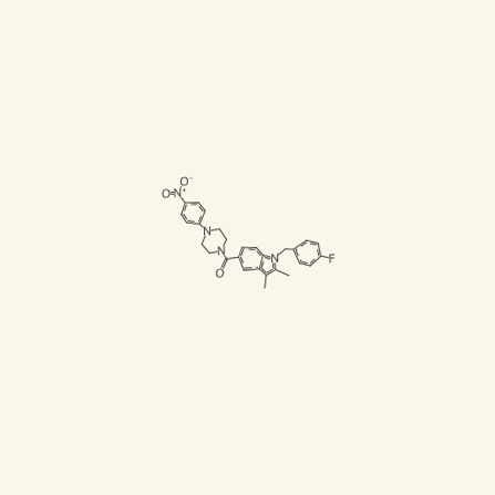 Cc1c(C)n(Cc2ccc(F)cc2)c2ccc(C(=O)N3CCN(c4ccc([N+](=O)[O-])cc4)CC3)cc12